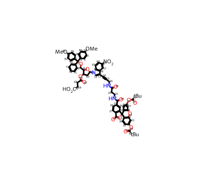 COc1ccc(C(OCC2OC(n3cc(C#CCNC(=O)CCNC(=O)c4ccc5c(c4)C4(OC5=O)c5ccc(OC(=O)C(C)(C)C)cc5Oc5cc(OC(=O)C(C)(C)C)ccc54)c4cc([N+](=O)[O-])ccc43)CC2OC(=O)CCC(=O)O)(c2ccccc2)c2ccc(OC)cc2)cc1